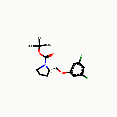 CC(C)(C)OC(=O)N1CCC[C@H]1COc1cc(F)cc(F)c1